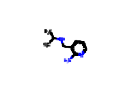 CC(C)NCc1cccnc1N